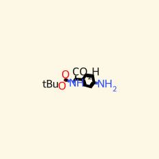 CC(C)(C)OC(=O)N[C@@H](C(=O)O)c1ccc(N)cc1